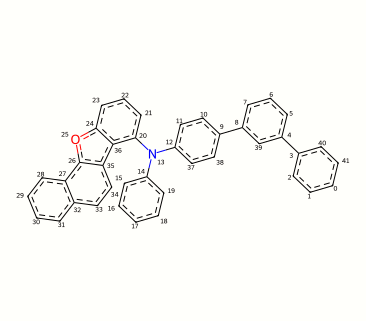 c1ccc(-c2cccc(-c3ccc(N(c4ccccc4)c4cccc5oc6c7ccccc7ccc6c45)cc3)c2)cc1